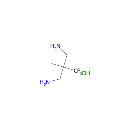 CC(CN)(CN)C(F)(F)F.Cl